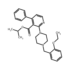 CCOc1ccccc1CN1CCN(c2nccc(-c3ccccc3)c2C(=O)OC(C)C)CC1